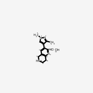 Cc1nn(C)cc1-c1cnc2c(c1)CNCC2.Cl.Cl